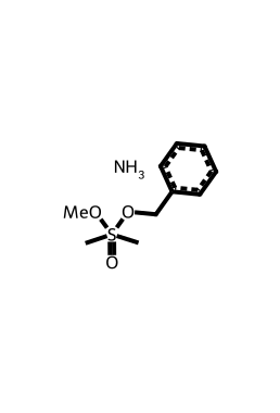 COS(C)(C)(=O)OCc1ccccc1.N